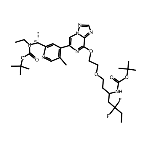 CCN(C(=O)OC(C)(C)C)[C@H](C)c1cc(-c2cn3ncnc3c(OCCOCCC(CC(F)(F)CC)NC(=O)OC(C)(C)C)n2)c(C)cn1